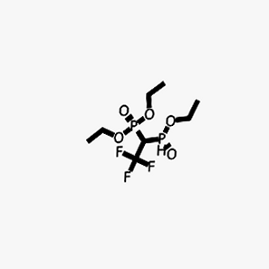 CCO[PH](=O)C(C(F)(F)F)P(=O)(OCC)OCC